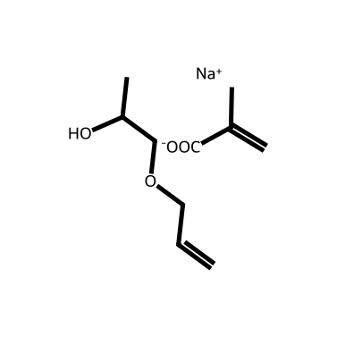 C=C(C)C(=O)[O-].C=CCOCC(C)O.[Na+]